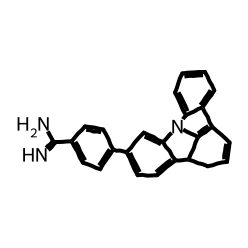 N=C(N)c1ccc(-c2ccc3c(c2)-n2c4c(c5ccccc52)C=CCC34)cc1